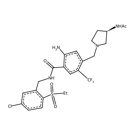 CCS(=O)(=O)c1ccc(Cl)cc1CNC(=O)c1cc(C(F)(F)F)c(CN2CC[C@@H](NC(C)=O)C2)cc1N